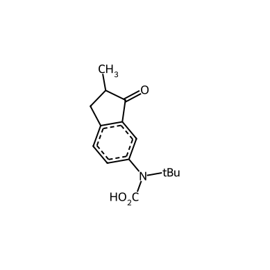 CC1Cc2ccc(N(C(=O)O)C(C)(C)C)cc2C1=O